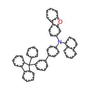 c1ccc(C2(c3cccc(-c4ccc(N(c5ccc6c(c5)oc5ccccc56)c5cccc6ccccc56)cc4)c3)c3ccccc3-c3ccccc32)cc1